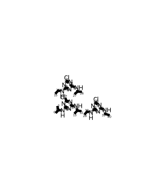 CC(C)Nc1nc(Cl)nc(NC(C)C)n1.CCNc1nc(Cl)nc(NC(C)C)n1.CCNc1nc(Cl)nc(NCC)n1